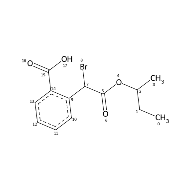 CCC(C)OC(=O)C(Br)c1ccccc1C(=O)O